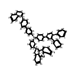 c1ccc(-c2ccc(-c3ccc(N(c4ccc(-c5ccc(-c6cccc7ccccc67)cc5)cc4)c4cccc(-c5cc6c7c(cccc7c5)Oc5ccccc5-6)c4)cc3)cc2-c2ccccc2)cc1